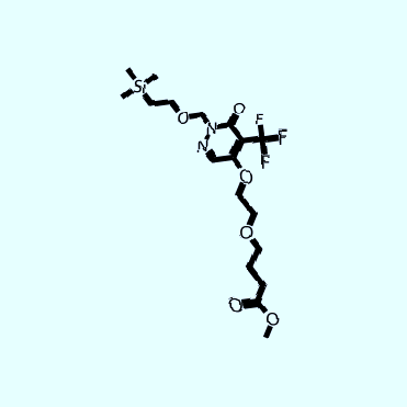 COC(=O)CCCOCCOc1cnn(COCC[Si](C)(C)C)c(=O)c1C(F)(F)F